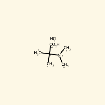 CN(C)C(C)(C)C(=O)O.Cl